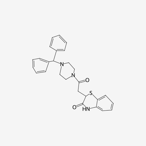 O=C1Nc2ccccc2SC1CC(=O)N1CCN(C(c2ccccc2)c2ccccc2)CC1